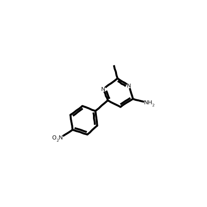 Cc1nc(N)cc(-c2ccc([N+](=O)[O-])cc2)n1